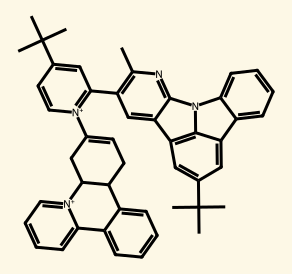 Cc1nc2c(cc1-c1cc(C(C)(C)C)cc[n+]1C1=CCC3c4ccccc4-c4cccc[n+]4C3C1)c1cc(C(C)(C)C)cc3c4ccccc4n2c31